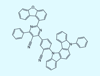 N#Cc1cc(-c2nc(-c3cccc4oc5ccccc5c34)nc(-c3ccccc3)c2C#N)ccc1-n1c2ccccc2c2ccc3c(c4ccccc4n3-c3ccccc3)c21